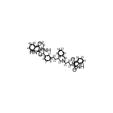 CCC(NCc1cccc(CCCCN(CCCn2c(=O)[nH]c3ccccc3c2=O)Cc2ccccc2)c1)n1c(=O)[nH]c2ccccc2c1=O